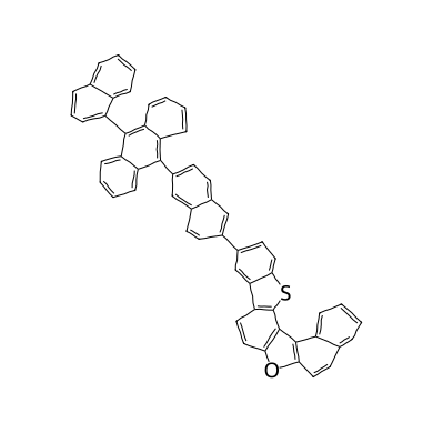 c1ccc2c(-c3c4ccccc4c(-c4ccc5cc(-c6ccc7sc8c(ccc9oc%10ccc%11ccccc%11c%10c98)c7c6)ccc5c4)c4ccccc34)cccc2c1